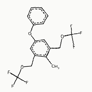 Cc1c(COC(F)(F)F)cc(Oc2ccccc2)cc1COC(F)(F)F